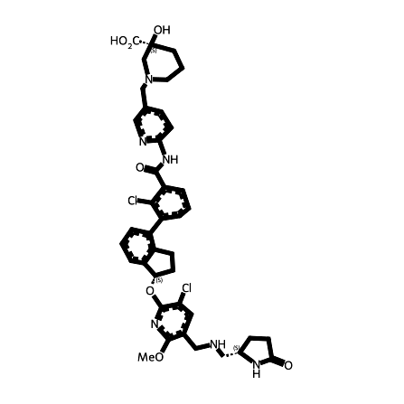 COc1nc(O[C@H]2CCc3c(-c4cccc(C(=O)Nc5ccc(CN6CCC[C@@](O)(C(=O)O)C6)cn5)c4Cl)cccc32)c(Cl)cc1CNC[C@@H]1CCC(=O)N1